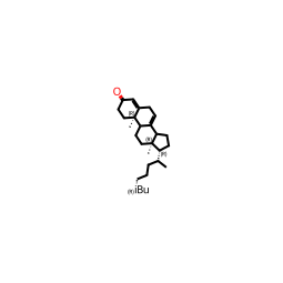 CC[C@@H](C)CCCC(C)[C@H]1CCC2C3=CCC4=CC(=O)CC[C@]4(C)C3CC[C@@]21C